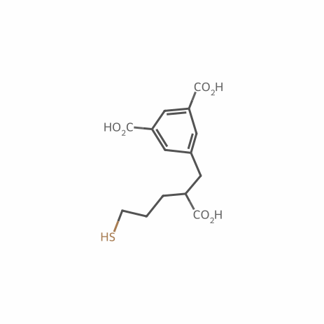 O=C(O)c1cc(CC(CCCS)C(=O)O)cc(C(=O)O)c1